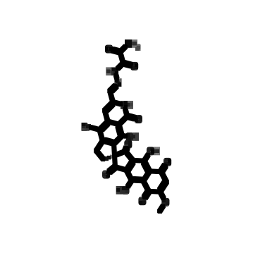 COC1=CC(=O)c2c(O)c3c(c(O)c2C1=O)C(=O)[C@]1(CCc2c1c(O)c1c(=O)[nH]c(C=NNC(=O)C(N)=O)cc1c2Br)C3=O